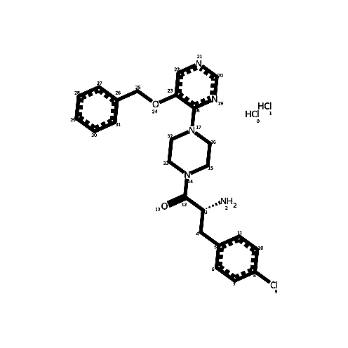 Cl.Cl.N[C@H](Cc1ccc(Cl)cc1)C(=O)N1CCN(c2ncncc2OCc2ccccc2)CC1